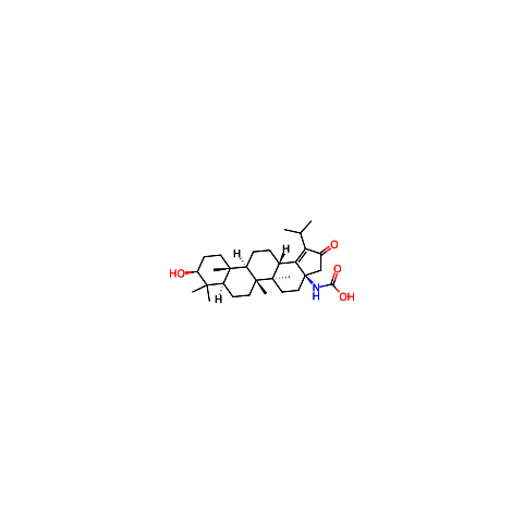 CC(C)C1=C2[C@H]3CC[C@@H]4[C@@]5(C)CC[C@H](O)C(C)(C)[C@@H]5CC[C@@]4(C)[C@]3(C)CC[C@@]2(NC(=O)O)CC1=O